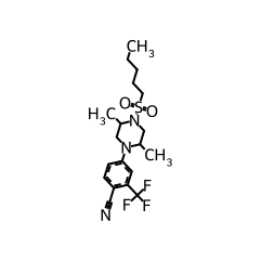 CCCCCS(=O)(=O)N1CC(C)N(c2ccc(C#N)c(C(F)(F)F)c2)CC1C